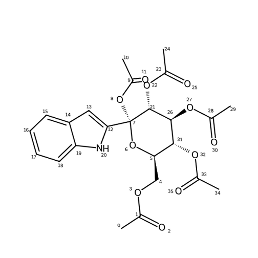 CC(=O)OC[C@H]1O[C@@](OC(C)=O)(c2cc3ccccc3[nH]2)[C@H](OC(C)=O)[C@@H](OC(C)=O)[C@@H]1OC(C)=O